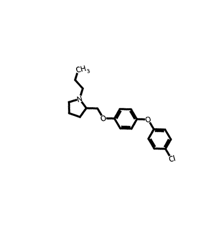 CCCN1CCCC1COc1ccc(Oc2ccc(Cl)cc2)cc1